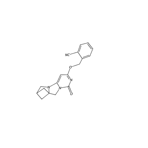 N#Cc1ccccc1COc1cc2n(c(=O)n1)CC13CC(CN21)C3